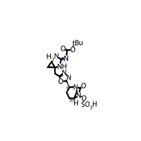 CC(C)(C)OC(=O)/N=C(\N)NC1(Cc2nnc([C@@H]3CC[C@@H]4CN3C(=O)N4OS(=O)(=O)O)o2)CC1